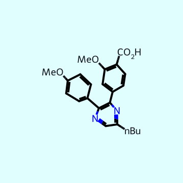 CCCCc1cnc(-c2ccc(OC)cc2)c(-c2ccc(C(=O)O)c(OC)c2)n1